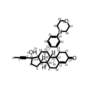 CC#C[C@]1(O)CC[C@H]2[C@@H]3CCC4=CC(=O)CC[C@]4(C)[C@H]3[C@@H](c3ccc(N4CCOCC4)cc3)C[C@@]21C